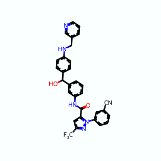 N#Cc1cccc(-n2nc(C(F)(F)F)cc2C(=O)Nc2cccc(C(O)c3ccc(NCc4cccnc4)cc3)c2)c1